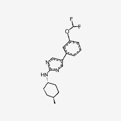 C[C@H]1CC[C@H](Nc2ncc(-c3cccc(OC(F)F)c3)cn2)CC1